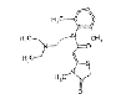 CCN(CC)CCN(C(=O)/C=C1\SCC(=O)N1C)c1c(C)cccc1C